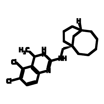 CC1NC(NC[C@]23CCCCC[C@@H](CCC2)C3)=Nc2ccc(Cl)c(Cl)c21